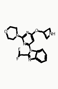 FC(F)c1nc2ccccc2n1-c1cc(OC2CNC2)nc(N2CCOCC2)n1